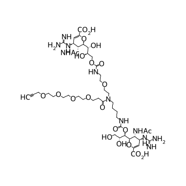 C#CCOCCOCCOCCOCCC(=O)N(CCCCNC(=O)O[C@@H]([C@@H]1OC(C(=O)O)=C[C@H](NC(=N)N)[C@H]1NC(C)=O)[C@H](O)CO)CCOCCNC(=O)OC[C@@H](O)[C@@H](O)[C@@H]1OC(C(=O)O)=C[C@H](NC(=N)N)[C@H]1NC(C)=O